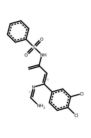 C=C(/C=C(\N=C/N)c1ccc(Cl)c(Cl)c1)NS(=O)(=O)c1ccccc1